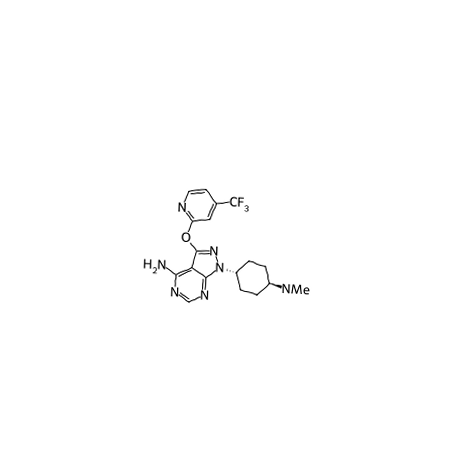 CN[C@H]1CC[C@H](n2nc(Oc3cc(C(F)(F)F)ccn3)c3c(N)ncnc32)CC1